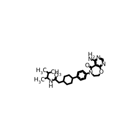 CC(C)C(C)NC(=O)CC1CCC(c2ccc(N3CCOc4ncnc(N)c4C3=O)cc2)CC1